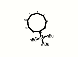 CCC[CH2][Sn]([CH2]CCC)([CH2]CCC)[C]1CCCCCCCC1